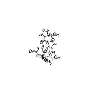 C[C@@H](O)[C@H](NC(=O)[C@]1(Cc2cc(Br)cc(Br)c2)CCCN1C(=O)C1CCCN1C(=O)O)C(N)=O